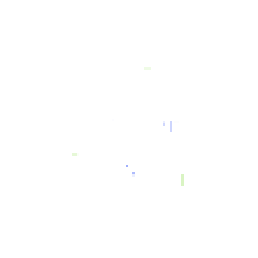 FC1=NC(F)=[N+]C(F)=N1